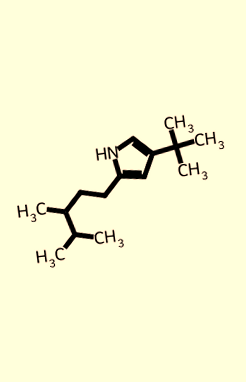 CC(C)C(C)CCc1cc(C(C)(C)C)c[nH]1